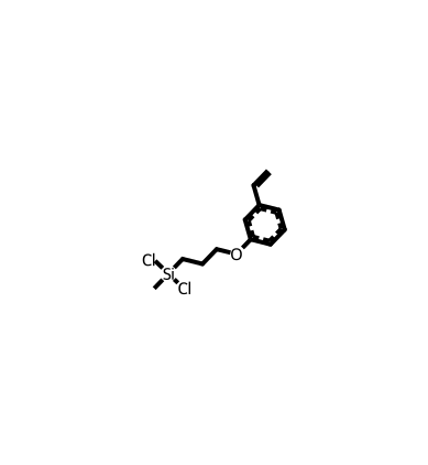 C=Cc1cccc(OCCC[Si](C)(Cl)Cl)c1